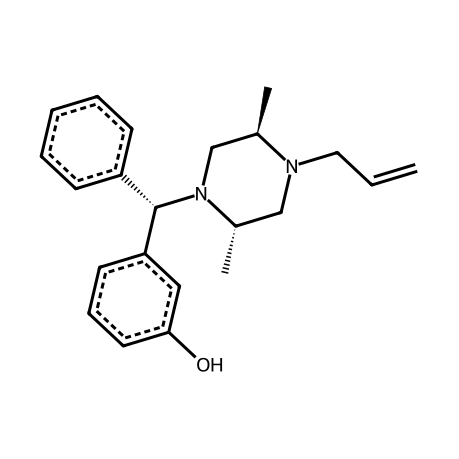 C=CCN1C[C@H](C)N([C@@H](c2ccccc2)c2cccc(O)c2)C[C@H]1C